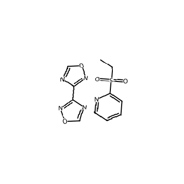 CCS(=O)(=O)c1ccccn1.c1nc(-c2ncon2)no1